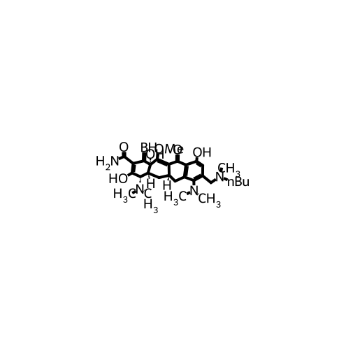 B=C1C(C(N)=O)=C(O)[C@@H](N(C)C)[C@@H]2C[C@@H]3Cc4c(c(O)cc(CN(C)CCCC)c4N(C)C)C(=O)C3=C(OC)[C@]12O